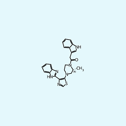 C[C@@H]1CN(c2scnc2-c2nc3ccccc3[nH]2)CCN1C(=O)Cc1c[nH]c2ccccc12